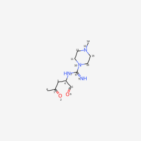 CC(=O)CC(C=O)NC(=N)N1CCN(C)CC1